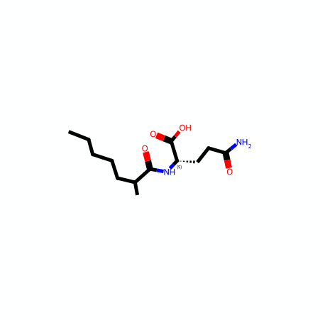 CCCCCC(C)C(=O)N[C@@H](CCC(N)=O)C(=O)O